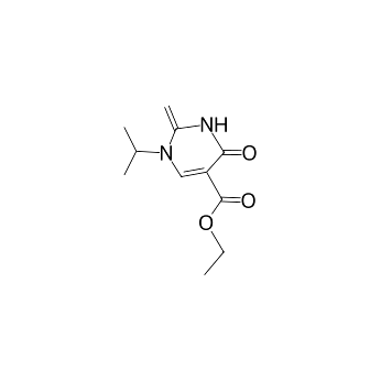 C=C1NC(=O)C(C(=O)OCC)=CN1C(C)C